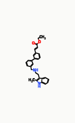 CCOC(=O)C=Cc1cccc(-c2cccc(CNCCc3c(C)[nH]c4ccccc34)c2)c1